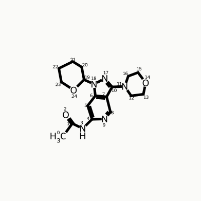 CC(=O)Nc1cc2c(cn1)c(N1CCOCC1)nn2C1CCCCO1